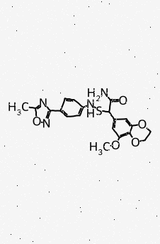 COc1cc(C(SNc2ccc(-c3noc(C)n3)cc2)C(N)=O)cc2c1OCCO2